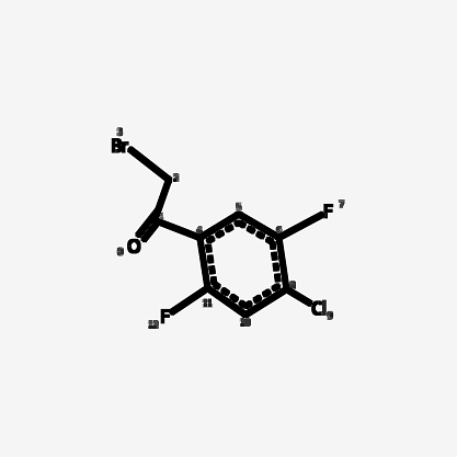 O=C(CBr)c1cc(F)c(Cl)cc1F